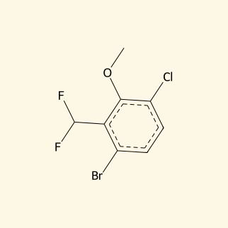 COc1c(Cl)ccc(Br)c1C(F)F